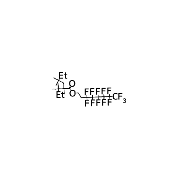 CCC(C)(C)CC(C)(C(=O)OCCC(F)(F)C(F)(F)C(F)(F)C(F)(F)C(F)(F)C(F)(F)F)C(C)(C)CC